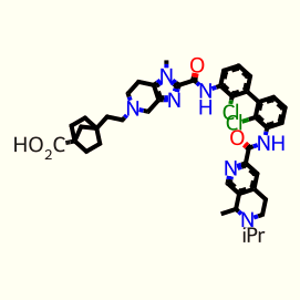 CC(C)N1CCc2cc(C(=O)Nc3cccc(-c4cccc(NC(=O)c5nc6c(n5C)CCN(CCC57CCC(C(=O)O)(CC5)C7)C6)c4Cl)c3Cl)ncc2C1C